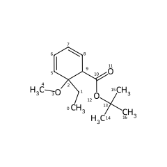 CCC1(OC)C=CC=CC1C(=O)OC(C)(C)C